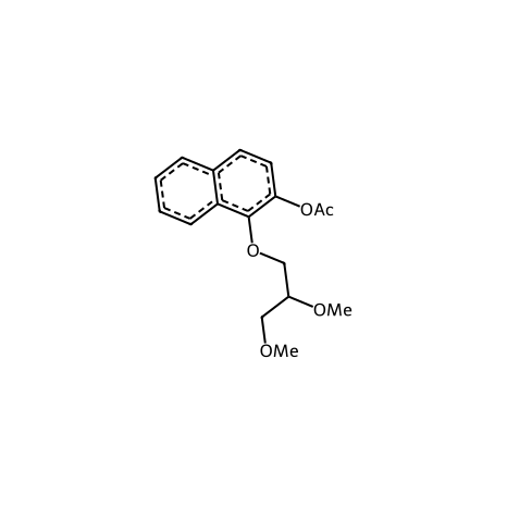 COCC(COc1c(OC(C)=O)ccc2ccccc12)OC